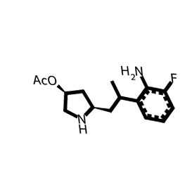 CC(=O)O[C@@H]1CN[C@H](CC(C)c2cccc(F)c2N)C1